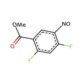 COC(=O)c1cc(N=O)c(F)cc1F